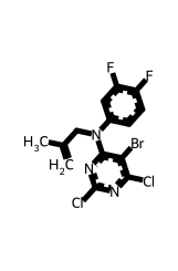 C=C(C)CN(c1ccc(F)c(F)c1)c1nc(Cl)nc(Cl)c1Br